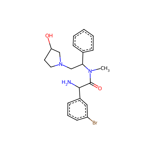 CN(C(=O)C(N)c1cccc(Br)c1)C(CN1CCC(O)C1)c1ccccc1